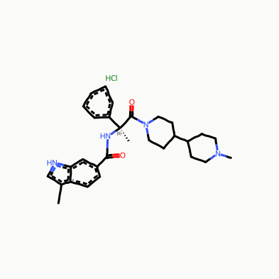 Cc1c[nH]c2cc(C(=O)N[C@](C)(C(=O)N3CCC(C4CCN(C)CC4)CC3)c3ccccc3)ccc12.Cl